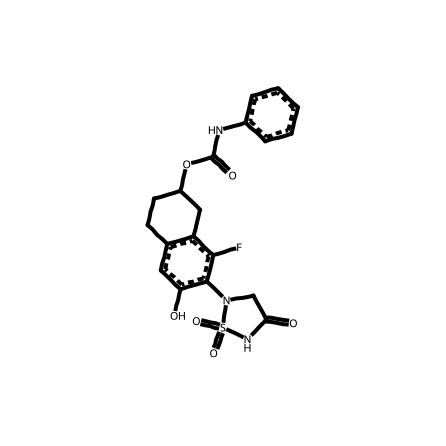 O=C1CN(c2c(O)cc3c(c2F)CC(OC(=O)Nc2ccccc2)CC3)S(=O)(=O)N1